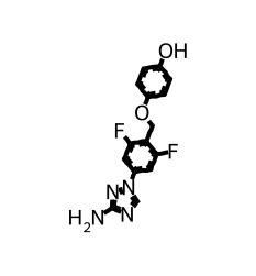 Nc1ncn(-c2cc(F)c(COc3ccc(O)cc3)c(F)c2)n1